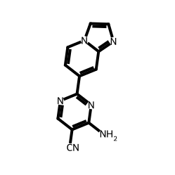 N#Cc1cnc(-c2ccn3ccnc3c2)nc1N